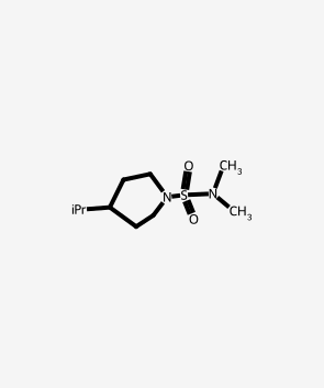 CC(C)C1CCN(S(=O)(=O)N(C)C)CC1